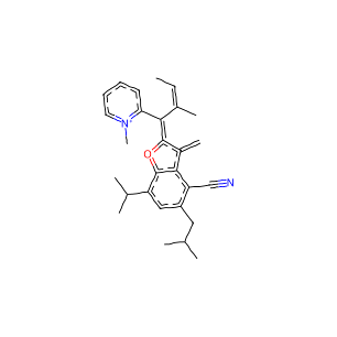 C=c1/c(=C(\C(C)=C/C)c2cccc[n+]2C)oc2c(C(C)C)cc(CC(C)C)c(C#N)c12